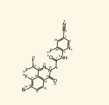 N#Cc1cnc(NC(=O)Cn2nc(C(F)F)c3c(F)c(Br)ccc3c2=O)c(F)c1